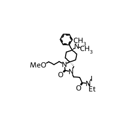 CCN(I)C(=O)CCN1C[C@]2(CC[C@](c3ccccc3)(N(C)C)CC2)N(CCCOC)C1=O